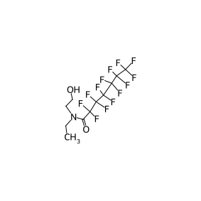 CCN(CCO)C(=O)C(F)(F)C(F)(F)C(F)(F)C(F)(F)C(F)(F)C(F)(F)F